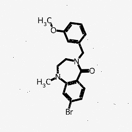 COc1cccc(CN2CCN(C)c3cc(Br)ccc3C2=O)c1